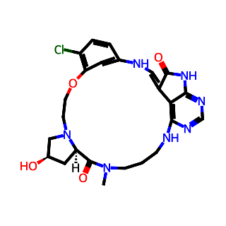 CN1CCCNc2ncnc3c2/C(=C/Nc2ccc(Cl)c(c2)OCCN2C[C@H](O)C[C@@H]2C1=O)C(=O)N3